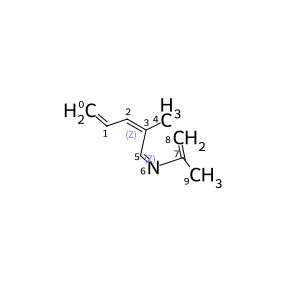 C=C/C=C(C)\C=N/C(=C)C